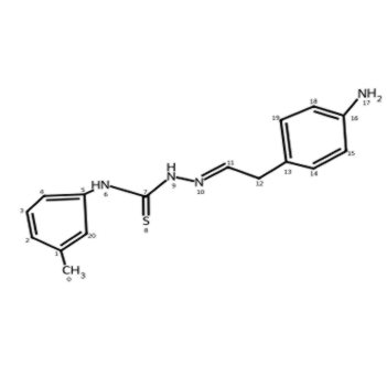 Cc1cccc(NC(=S)NN=CCc2ccc(N)cc2)c1